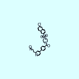 O=NCCc1cc(-c2ccc(C(=O)N3CCN(S(=O)(=O)c4ccc5cc(Cl)ccc5c4)CC3)cc2)ccn1